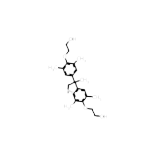 Cc1cc(C(C)(CC(C)C)c2cc(C)c(OCCO)c(C)c2)cc(C)c1OCCO